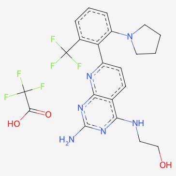 Nc1nc(NCCO)c2ccc(-c3c(N4CCCC4)cccc3C(F)(F)F)nc2n1.O=C(O)C(F)(F)F